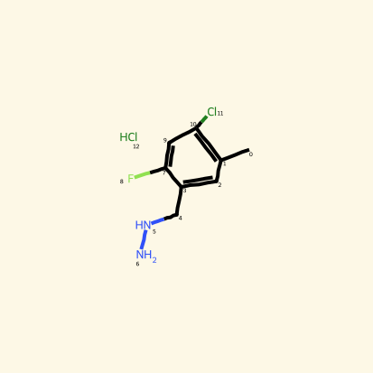 Cc1cc(CNN)c(F)cc1Cl.Cl